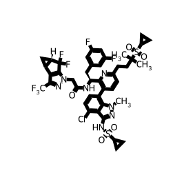 Cn1nc(NS(=O)(=O)C2CC2)c2c(Cl)ccc(-c3ccc(CCC(C)(C)S(=O)(=O)C4CC4)nc3[C@H](Cc3cc(F)cc(F)c3)NC(=O)Cn3nc(C(F)(F)F)c4c3C(F)(F)[C@@H]3CC43)c21